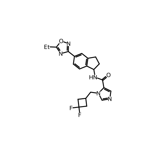 CCc1nc(-c2ccc3c(c2)CCC3NC(=O)c2cncn2CC2CC(F)(F)C2)no1